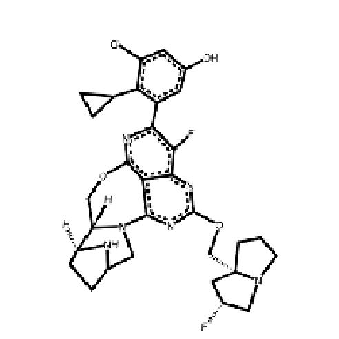 Oc1cc(Cl)c(C2CC2)c(-c2nc3c4c(nc(OC[C@]56CCCN5C[C@H](F)C6)nc4c2F)N2CC4CC[C@H](N4)[C@@H]2CO3)c1